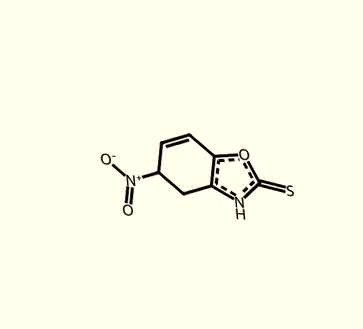 O=[N+]([O-])C1C=Cc2oc(=S)[nH]c2C1